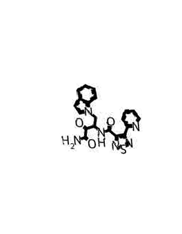 NC(=O)C(=O)C(Cn1ccc2ccccc21)NC(=O)c1nsnc1-c1ccccn1